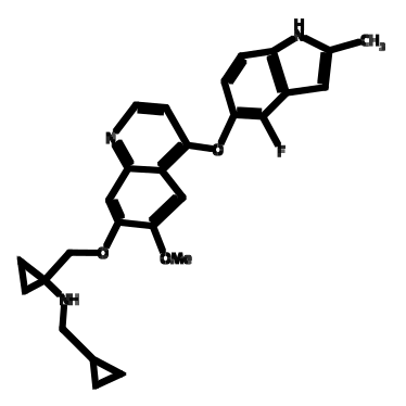 COc1cc2c(Oc3ccc4[nH]c(C)cc4c3F)ccnc2cc1OCC1(NCC2CC2)CC1